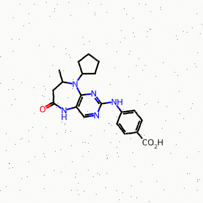 CC1CC(=O)Nc2cnc(Nc3ccc(C(=O)O)cc3)nc2N1C1CCCC1